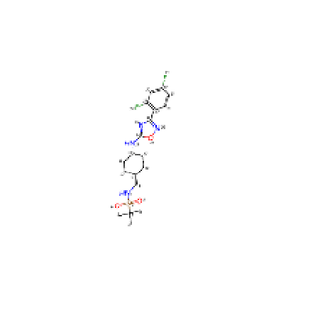 CC(C)(C)S(=O)(=O)NC[C@H]1CC[C@H](Nc2nc(-c3ccc(F)cc3F)no2)CC1